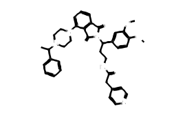 COc1ccc(C(CCNC(=O)Cc2ccncc2)N2C(=O)c3cccc(N4CCN(C(C)c5ccccc5)CC4)c3C2=O)cc1OC